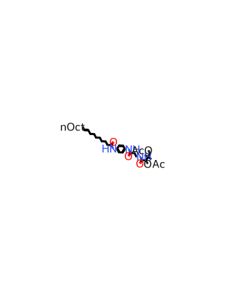 CCCCCCCCC=CCCCCCCCC(=O)Nc1ccc(NC(=O)CCNC(=O)C(OC(C)=O)C(C)(C)COC(C)=O)cc1